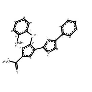 COC(=O)c1cc(-c2nc(-c3ccccc3)cs2)c(Sc2ccccc2OC)s1